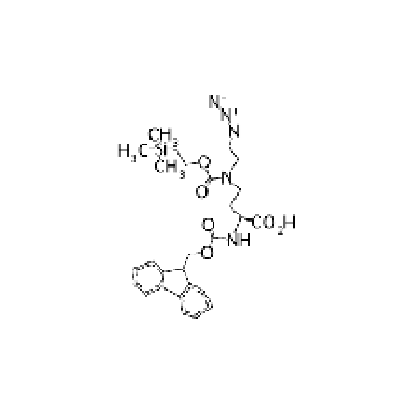 C[Si](C)(C)CCOC(=O)N(CCN=[N+]=[N-])CC[C@H](NC(=O)OCC1c2ccccc2-c2ccccc21)C(=O)O